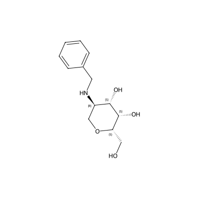 OC[C@@H]1OC[C@@H](NCc2ccccc2)[C@H](O)[C@@H]1O